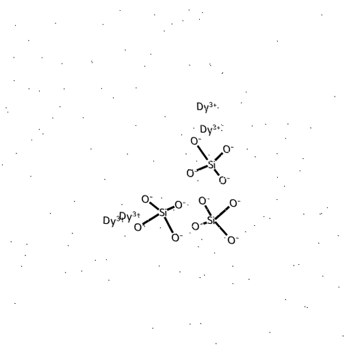 [Dy+3].[Dy+3].[Dy+3].[Dy+3].[O-][Si]([O-])([O-])[O-].[O-][Si]([O-])([O-])[O-].[O-][Si]([O-])([O-])[O-]